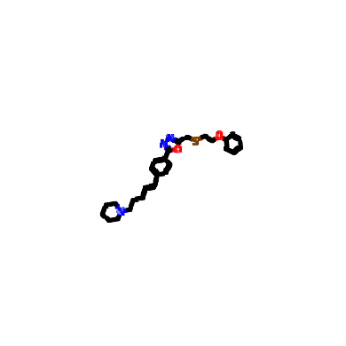 C(=Cc1ccc(-c2nnc(CSCCOc3ccccc3)o2)cc1)CCCN1CCCCC1